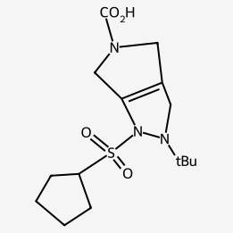 CC(C)(C)N1CC2=C(CN(C(=O)O)C2)N1S(=O)(=O)C1CCCC1